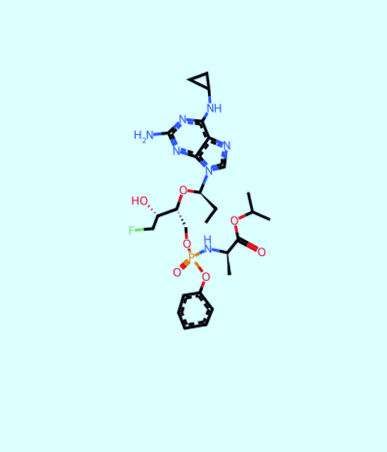 CC[C@@H](O[C@H](COP(=O)(N[C@H](C)C(=O)OC(C)C)Oc1ccccc1)[C@@H](O)CF)n1cnc2c(NC3CC3)nc(N)nc21